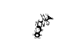 O=C(Nc1cncc(Cc2ccccc2)n1)C1CC1